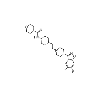 O=C(N[C@H]1CC[C@H](CCN2CCC(c3noc4cc(F)c(F)cc34)CC2)CC1)C1CCOCC1